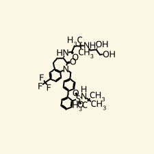 CC(C)(C)NS(=O)(=O)c1ccccc1-c1ccc(CN2C(=O)[C@H](NC(=O)CC(C)(C)NC[C@H](O)CO)CCc3cc(C(F)(F)F)ccc32)cc1